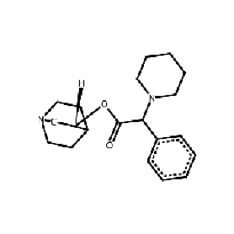 O=C(O[C@H]1CN2CCC1CC2)C(c1ccccc1)N1CCCCC1